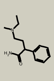 CCN(C)CC[C](C(N)=O)c1ccccc1